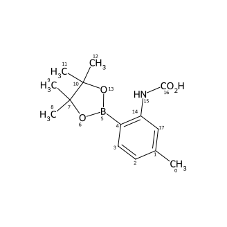 Cc1ccc(B2OC(C)(C)C(C)(C)O2)c(NC(=O)O)c1